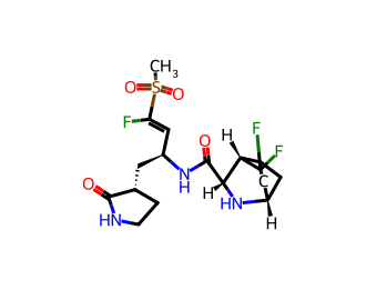 CS(=O)(=O)/C(F)=C/[C@H](C[C@@H]1CCNC1=O)NC(=O)[C@H]1N[C@H]2CC[C@@H]1C(F)(F)C2